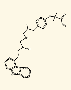 CC(CNCC(O)COc1cccc2[nH]c3ccccc3c12)Cc1ccc(OC(C)(C)C(N)=O)cc1